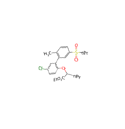 CCCC(Oc1ccc(Cl)cc1-c1cc(S(=O)(=O)CCC)ccc1C)C(=O)OCC